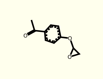 CC(=O)c1ccc(OC2CO2)cc1